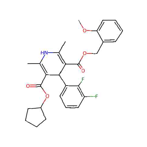 COc1ccccc1COC(=O)C1=C(C)NC(C)=C(C(=O)OC2CCCC2)C1c1cccc(F)c1F